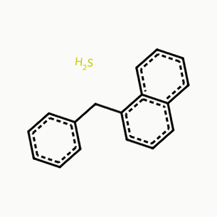 S.c1ccc(Cc2cccc3ccccc23)cc1